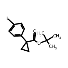 CC(C)(C)OC(=O)C1(c2ccc(I)cc2)CC1